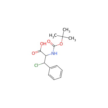 CC(C)(C)OC(=O)NC(C(=O)O)C(Cl)c1ccccc1